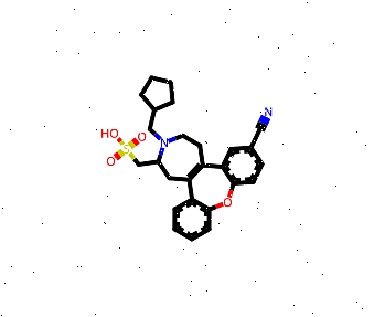 N#Cc1ccc2c(c1)C1=C(CC(CS(=O)(=O)O)N(CC3CCCC3)CC1)c1ccccc1O2